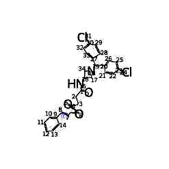 O=C(CCS(=O)(=O)/C=C/c1ccccc1)NC1CN(C(c2ccc(Cl)cc2)c2ccc(Cl)cc2)C1